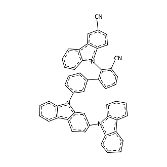 N#Cc1ccc2c(c1)c1ccccc1n2-c1c(C#N)cccc1-c1cccc(-n2c3ccccc3c3ccc(-n4c5ccccc5c5ccccc54)cc32)c1